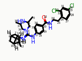 CC1CN(C(=N[C@H]2C[C@@H]3C[C@@H]([C@H]2C)C3(C)C)Nc2ccc(C(=O)NCCc3ccc(Cl)cc3Cl)cc2)CC(C)N1